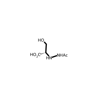 CC(=O)NN[C@@H](CO)C(=O)O